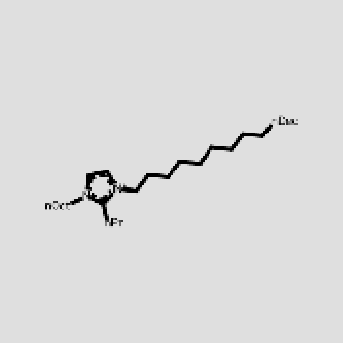 CCCCCCCCCCCCCCCCCCC[n+]1ccn(CCCCCCCC)c1CCC